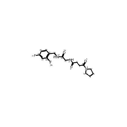 O=C(CCC(=O)N1CCCC1)NCC(=O)NCc1ccc(F)cc1F